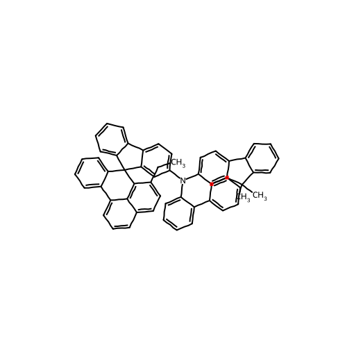 CCc1ccc2cccc3c2c1C1(c2ccccc2-c2ccc(N(c4ccc5c(c4)C(C)(C)c4ccccc4-5)c4ccccc4-c4ccccc4)cc21)c1ccccc1-3